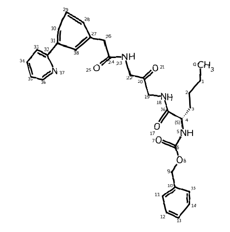 CCCC[C@H](NC(=O)OCc1ccccc1)C(=O)NCC(=O)CNC(=O)Cc1cccc(-c2ccccn2)c1